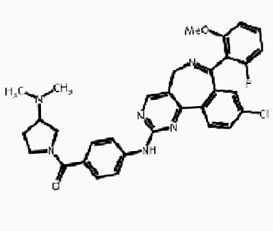 COc1cccc(F)c1C1=NCc2cnc(Nc3ccc(C(=O)N4CCC(N(C)C)C4)cc3)nc2-c2ccc(Cl)cc21